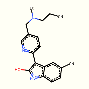 CCN(CCC#N)Cc1ccc(-c2c(O)[nH]c3ccc(C#N)cc23)nc1